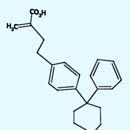 C=C(CCc1ccc(C2(c3ccccc3)CCCCC2)cc1)C(=O)O